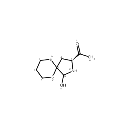 CC(=O)[C@@H]1CC2(SCCCS2)C(O)N1